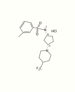 Cc1cccc(S(=O)(=O)N(C)[C@@H]2CC[C@H](N3CCC(C(F)(F)F)CC3)C2)c1.Cl